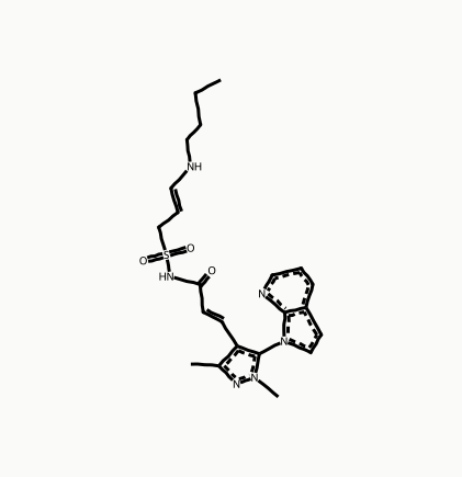 CCCCNC=CCS(=O)(=O)NC(=O)/C=C/c1c(C)nn(C)c1-n1ccc2cccnc21